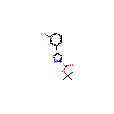 CC(C)(C)OC(=O)n1cc(-c2cccc(Br)c2)cn1